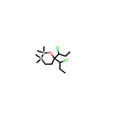 CCC(Cl)C1(C(Cl)CC)CC[Si](C)(C)[Si](C)(C)O1